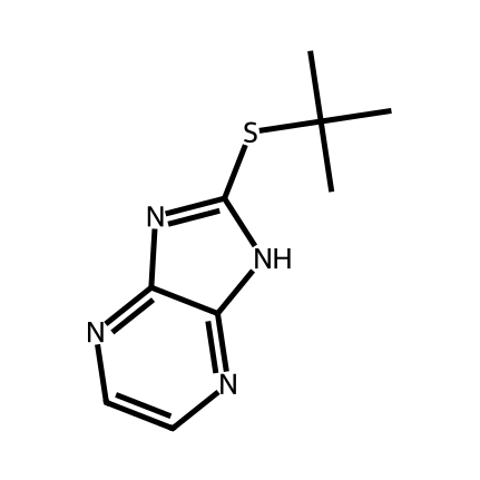 CC(C)(C)Sc1nc2nccnc2[nH]1